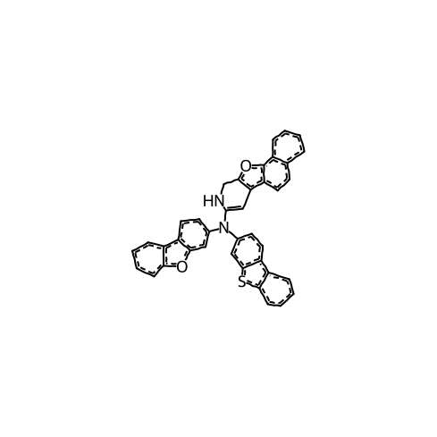 C1=C(N(c2ccc3c(c2)oc2ccccc23)c2ccc3c(c2)sc2ccccc23)NCc2oc3c(ccc4ccccc43)c21